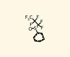 [O-][S+](c1ccccc1)C(F)(F)C(F)(F)C(F)(F)F